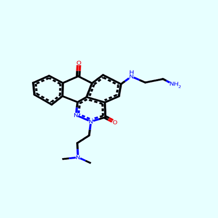 CN(C)CCn1nc2c3c(cc(NCCN)cc3c1=O)C(=O)c1ccccc1-2